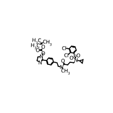 CN(CCc1ccc(C2=NCCN2OC(=O)OC(C)(C)C)cc1)C(=O)CCCN(C1CC1)S(=O)(=O)c1cccc(Cl)c1Cl